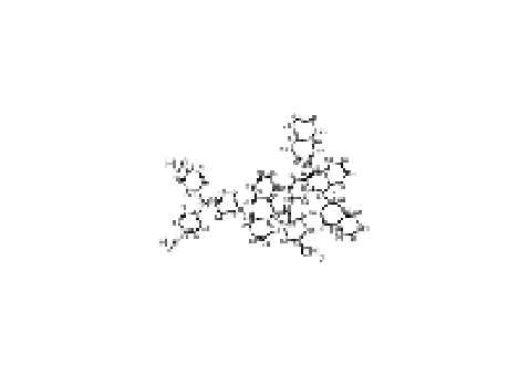 Cc1ccc(N(c2ccc(C)cc2)c2ccc(-c3c4ccccc4c(N(c4ccc(C)cc4)c4ccc5c(-c6ccc7ccccc7c6)c6ccccc6c(-c6ccc7ccccc7c6)c5c4)c4ccccc34)cc2)cc1